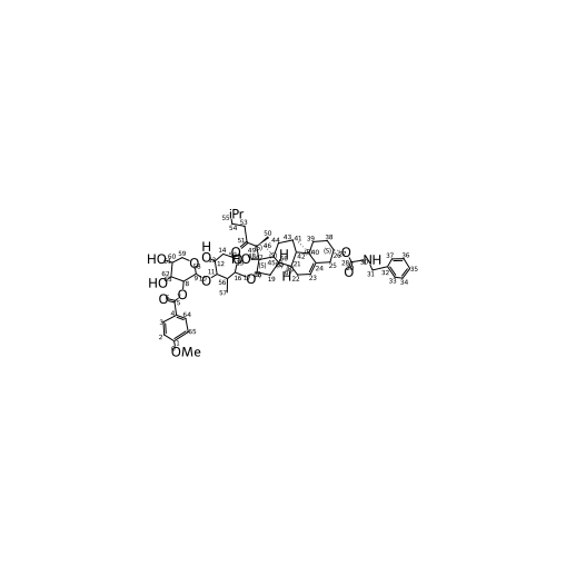 COc1ccc(C(=O)OC2C(OC3C(O)COC(O[C@H]4C[C@H]5[C@@H]6CC=C7C[C@@H](OC(=O)NCc8ccccc8)CC[C@]7(C)C6CC[C@]5(C)[C@@]4(O)[C@H](C)C(=O)CCC(C)C)C3C)OCC(O)C2O)cc1